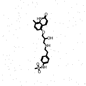 Cc1ccc(OCC(O)CNCCc2ccc(NS(C)(=O)=O)cc2)c2ccc(=O)[nH]c12